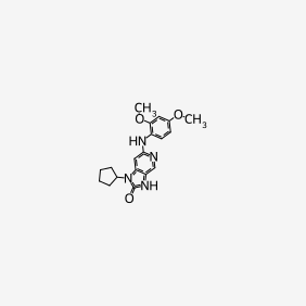 COc1ccc(Nc2cc3c(cn2)[nH]c(=O)n3C2CCCC2)c(OC)c1